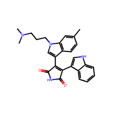 Cc1ccc2c(C3=C(c4c[nH]c5ccccc45)C(=O)NC3=O)cn(CCCN(C)C)c2c1